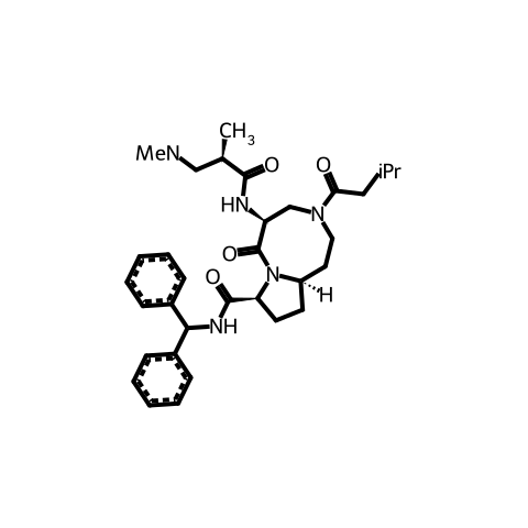 CNC[C@@H](C)C(=O)N[C@H]1CN(C(=O)CC(C)C)CC[C@H]2CC[C@@H](C(=O)NC(c3ccccc3)c3ccccc3)N2C1=O